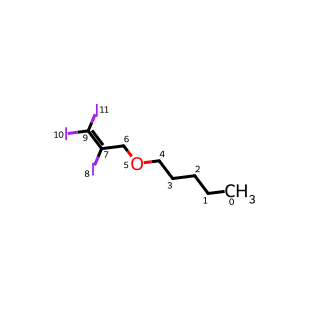 CCCCCOCC(I)=C(I)I